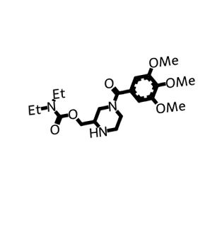 CCN(CC)C(=O)OCC1CN(C(=O)c2cc(OC)c(OC)c(OC)c2)CCN1